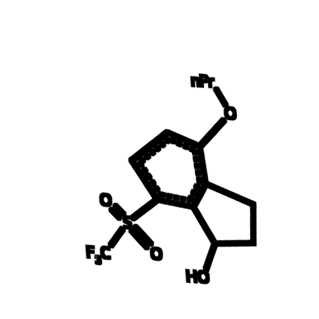 CCCOc1ccc(S(=O)(=O)C(F)(F)F)c2c1CCC2O